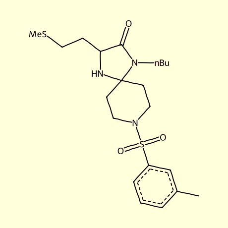 CCCCN1C(=O)C(CCSC)NC12CCN(S(=O)(=O)c1cccc(C)c1)CC2